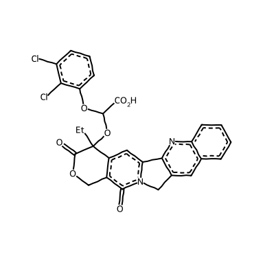 CCC1(OC(Oc2cccc(Cl)c2Cl)C(=O)O)C(=O)OCc2c1cc1n(c2=O)Cc2cc3ccccc3nc2-1